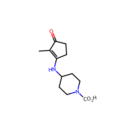 CC1=C(NC2CCN(C(=O)O)CC2)CCC1=O